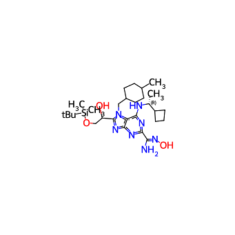 CC1CCC(Cn2c(C(O)CO[Si](C)(C)C(C)(C)C)nc3nc(C(N)=NO)nc(N[C@H](C)C4CCC4)c32)CC1